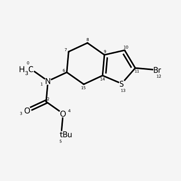 CN(C(=O)OC(C)(C)C)C1CCc2cc(Br)sc2C1